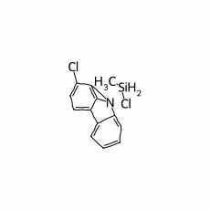 C[SiH2]Cl.Clc1ccc2c3ccccc3n3c2c1-3